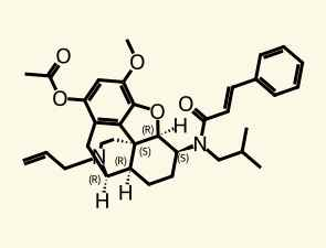 C=CCN1CC[C@]23c4c5c(OC(C)=O)cc(OC)c4O[C@H]2[C@@H](N(CC(C)C)C(=O)C=Cc2ccccc2)CC[C@H]3[C@H]1C5